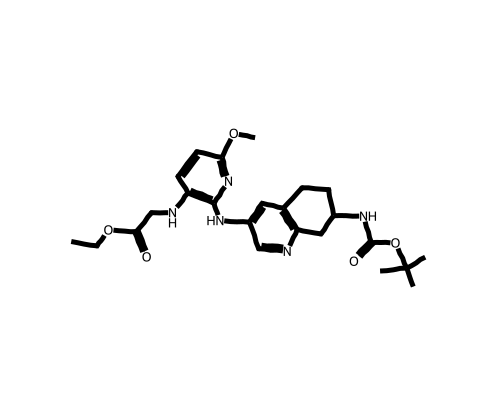 CCOC(=O)CNc1ccc(OC)nc1Nc1cnc2c(c1)CCC(NC(=O)OC(C)(C)C)C2